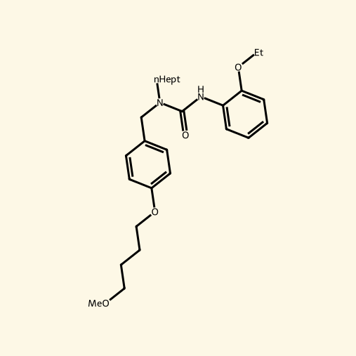 CCCCCCCN(Cc1ccc(OCCCCOC)cc1)C(=O)Nc1ccccc1OCC